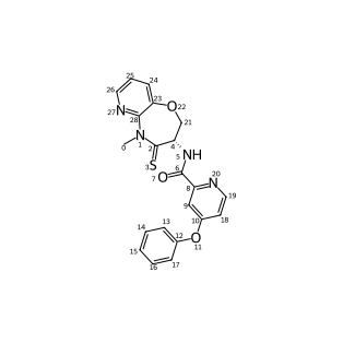 CN1C(=S)[C@@H](NC(=O)c2cc(Oc3ccccc3)ccn2)COc2cccnc21